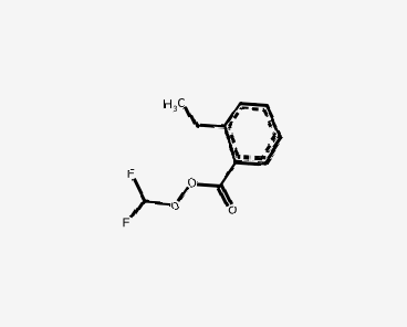 CCc1ccccc1C(=O)OOC(F)F